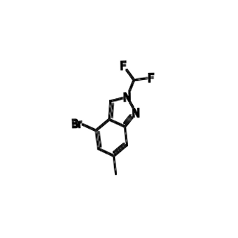 Cc1cc(Br)c2cn(C(F)F)nc2c1